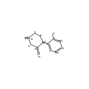 Cc1n[c]ncc1N1CCNCC1=O